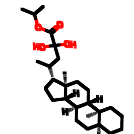 CC(C)OC(=O)C(O)(O)CC(C)[C@H]1CC[C@H]2[C@@H]3CC[C@@H]4CCCC[C@]4(C)[C@H]3CC[C@]12C